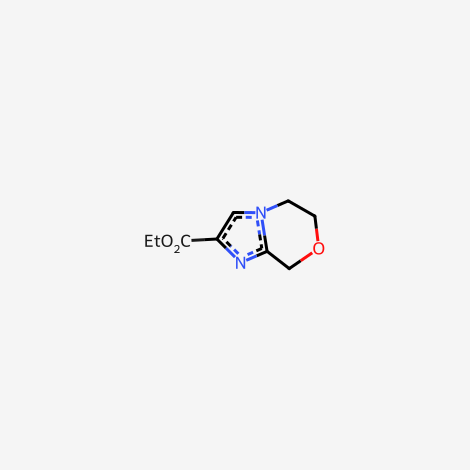 CCOC(=O)c1cn2c(n1)COCC2